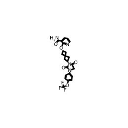 NC(=O)c1cccnc1O[C@H]1CC2(C1)C[C@H](N1C(=O)CN(c3ccc(OC(F)(F)F)cc3)C1=O)C2